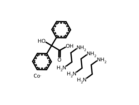 NCCN.NCCN.NCCN.O=C(O)C(O)(c1ccccc1)c1ccccc1.[Co]